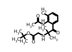 CC(=O)Nc1c(C)cccc1C(=O)C(C)(C)NCC(=O)OC(C)(C)C